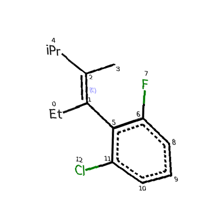 CC/C(=C(/C)C(C)C)c1c(F)cccc1Cl